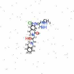 CN/C=C(\C=N)Nc1cc2c(cc1Cl)CCN(CC(O)CN1CCc3ccccc3C1)C2=O